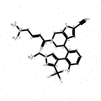 CCn1cc(-c2c(Cl)cccc2C2CN(C(=O)/C=C/CN(C)C)Cc3sc(C#N)cc32)c(C(F)(F)F)n1